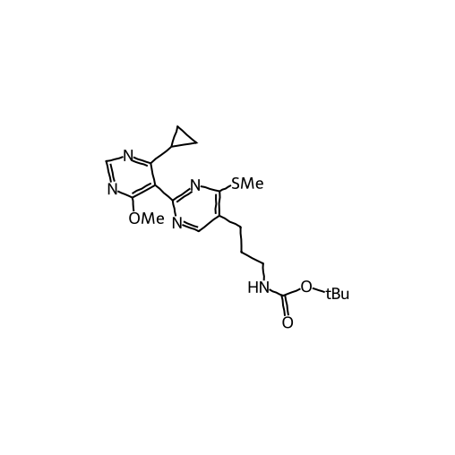 COc1ncnc(C2CC2)c1-c1ncc(CCCNC(=O)OC(C)(C)C)c(SC)n1